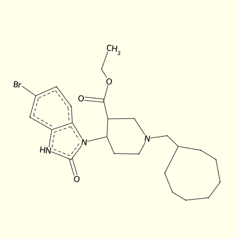 CCOC(=O)C1CN(CC2CCCCCCC2)CCC1n1c(=O)[nH]c2cc(Br)ccc21